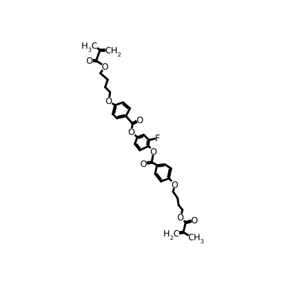 C=C(C)C(=O)OCCCCOc1ccc(C(=O)Oc2ccc(OC(=O)c3ccc(OCCCCOC(=O)C(=C)C)cc3)c(F)c2)cc1